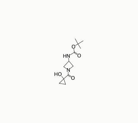 CC(C)(C)OC(=O)NC1CN(C(=O)C2(O)CC2)C1